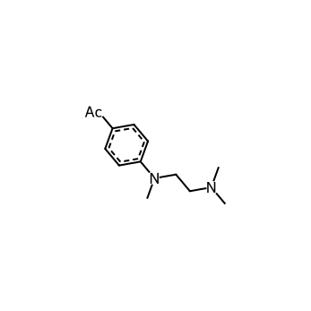 CC(=O)c1ccc(N(C)CCN(C)C)cc1